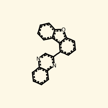 c1ccc2nc(-c3cccc4oc5ccccc5c34)cnc2c1